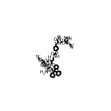 [N-]=[N+]=NCC(C=N)(C=N)OC(=O)NC(CCNC(=O)OC1=CC=C(C[C@H](NC(=O)OC(C=N)(C=N)CN=[N+]=[N-])C(=O)N=O)CC1)C(=O)N[C@@H](CSC(C1=CCCC=C1)(C1=CCCC=C1)C1C=CCCC1)C(=O)NN